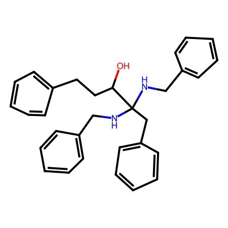 OC(CCc1ccccc1)C(Cc1ccccc1)(NCc1ccccc1)NCc1ccccc1